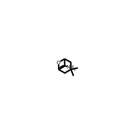 CC1(C)CC2=C(N)C(C1)O2